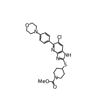 COC(=O)N1CCC(Sc2nc3nc(-c4ccc(N5CCOCC5)cc4)c(Cl)cc3[nH]2)CC1